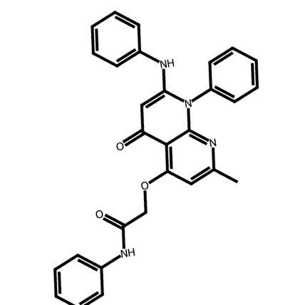 Cc1cc(OCC(=O)Nc2ccccc2)c2c(=O)cc(Nc3ccccc3)n(-c3ccccc3)c2n1